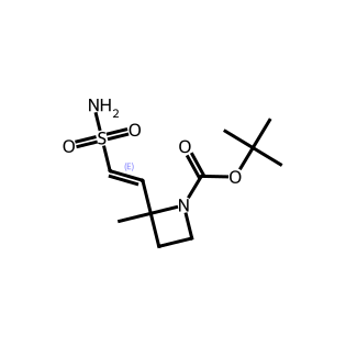 CC(C)(C)OC(=O)N1CCC1(C)/C=C/S(N)(=O)=O